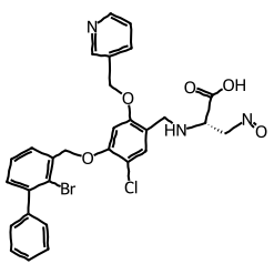 O=NC[C@H](NCc1cc(Cl)c(OCc2cccc(-c3ccccc3)c2Br)cc1OCc1cccnc1)C(=O)O